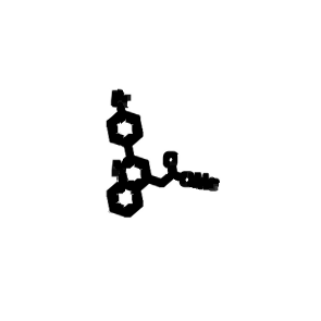 COC(=O)Cc1cc(-c2ccc(Br)cc2)nc2ccccc12